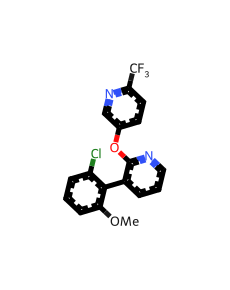 COc1cccc(Cl)c1-c1cccnc1Oc1ccc(C(F)(F)F)nc1